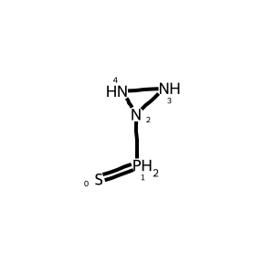 S=[PH2]n1[nH][nH]1